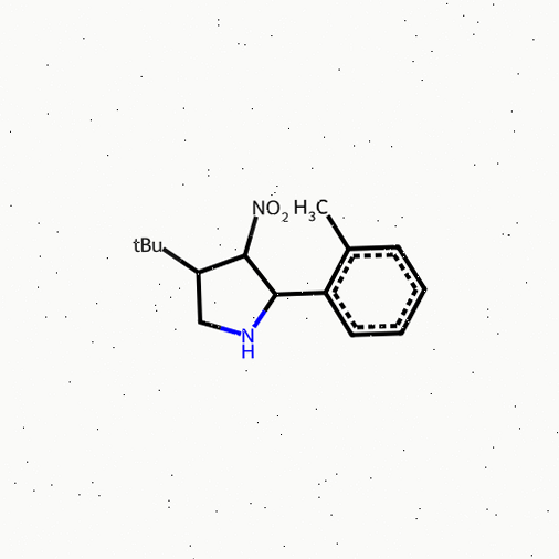 Cc1ccccc1C1NCC(C(C)(C)C)C1[N+](=O)[O-]